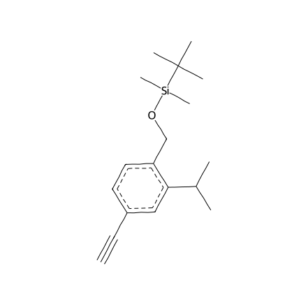 C#Cc1ccc(CO[Si](C)(C)C(C)(C)C)c(C(C)C)c1